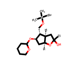 CCC1(O)C[C@@H]2[C@@H](CO[Si](C)(C)C(C)(C)C)[C@H](OC3CCCCO3)C[C@@H]2O1